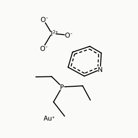 CCP(CC)CC.[Au+].[O-][I+2]([O-])[O-].c1ccncc1